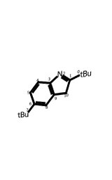 CC(C)(C)C1=Nc2ccc(C(C)(C)C)cc2C1